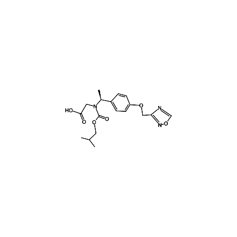 CC(C)COC(=O)N(CC(=O)O)[C@@H](C)c1ccc(OCc2ncon2)cc1